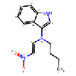 CCCCN(C=C[N+](=O)[O-])c1c[nH]c2ccccc12